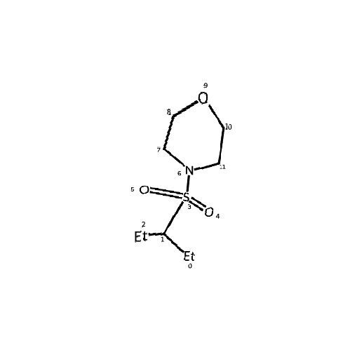 CCC(CC)S(=O)(=O)N1CCOCC1